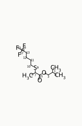 CC(C)COC(=O)C(C)SCCCCC(F)(F)F